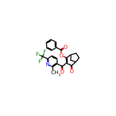 Cc1nc(C(F)(F)F)ccc1C(=O)C1=C(OC(=O)c2ccccc2)C2CCC(C2)C1=O